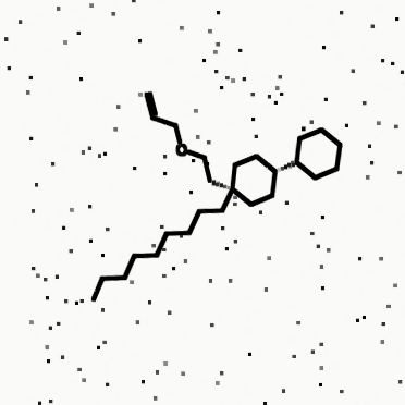 C=CCOCC[C@]1(CCCCCCCCC)CC[C@H](C2CCCCC2)CC1